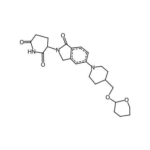 O=C1CCC(N2Cc3cc(N4CCC(COC5CCCCO5)CC4)ccc3C2=O)C(=O)N1